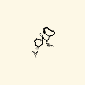 CN[C@H](Cc1ccccc1)C(=O)N1CCC[C@@H](CN(C)C)C1